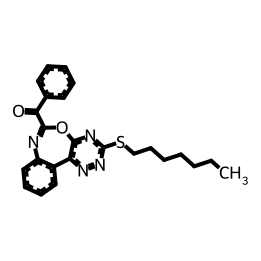 CCCCCCCSc1nnc2c(n1)OC(C(=O)c1ccccc1)=Nc1ccccc1-2